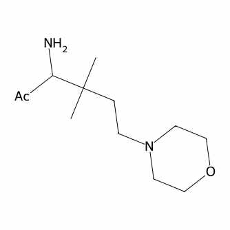 CC(=O)C(N)C(C)(C)CCN1CCOCC1